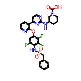 O=C(O)N1CCCC(Nc2nccc(-c3cccnc3Oc3cc(F)c(NS(=O)(=O)Cc4ccccc4)c(F)c3F)n2)C1